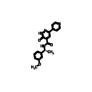 COc1cccc([C@@H](C)NC(=O)c2cc(-c3ccncc3)n[nH]c2=O)c1